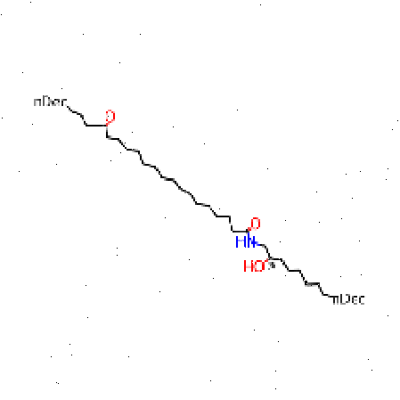 CCCCCCCCCCCCCCCC[C@@H](O)CNC(=O)CCCCCCCCCCCCCCCC(=O)CCCCCCCCCCCCC